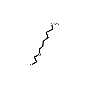 CCCCCCCCCCCCOCC[S]